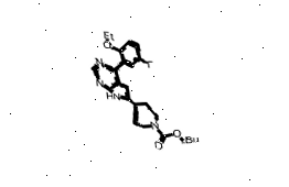 CCOc1ccc(F)cc1-c1ncnc2[nH]c(C3=CCN(C(=O)OC(C)(C)C)CC3)cc12